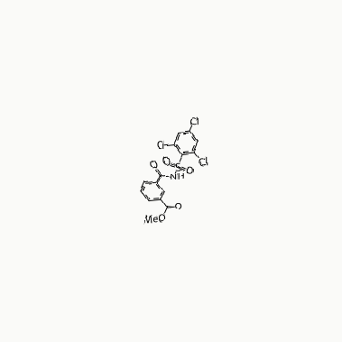 COC(=O)c1cccc(C(=O)NS(=O)(=O)c2c(Cl)cc(Cl)cc2Cl)c1